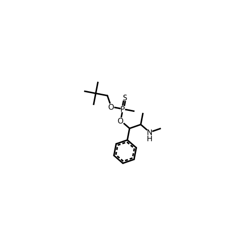 CNC(C)C(OP(C)(=S)OCC(C)(C)C)c1ccccc1